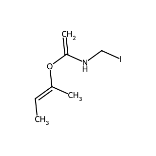 C=C(NCI)O/C(C)=C/C